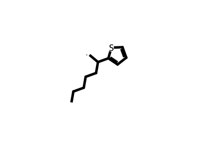 [CH2]C(CCCCC)c1cccs1